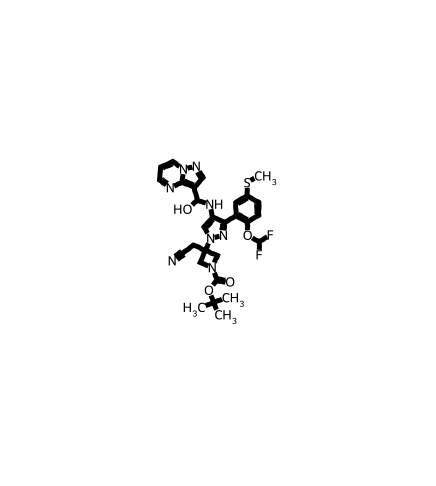 CSc1ccc(OC(F)F)c(-c2nn(C3(CC#N)CN(C(=O)OC(C)(C)C)C3)cc2NC(O)c2cnn3cccnc23)c1